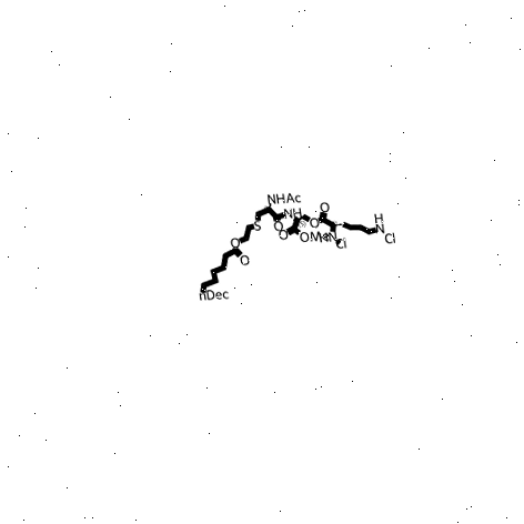 CCCCCCCCCCCCCCCC(=O)OCCSC[C@H](NC(C)=O)C(=O)N[C@@H](COC(=O)[C@H](CCCCNCl)NCl)C(=O)OC